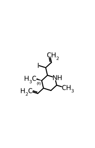 C=CC(I)C1NC(C)CC(C=C)[C@H]1C